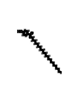 CCCCCCCCCCCCCCCCCCCCCCCOC(=O)c1ccc(O)cc1